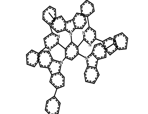 Cc1ccc2c(c1)c1ccccc1n2-c1c(-c2nc(-c3ccccc3)cc(-c3ccccc3)n2)c(-n2c3ccccc3c3cc(-c4ccccc4)ccc32)cc(-n2c3ccccc3c3cc(-c4ccccc4)ccc32)c1-c1nc(-c2ccccc2)cc(-c2ccccc2)n1